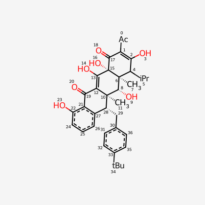 CC(=O)C1=C(O)C(C(C)C)[C@@]2(C)[C@H](O)[C@]3(C)C(=C(O)[C@@]2(O)C1=O)C(=O)c1c(O)cccc1[C@H]3Cc1ccc(C(C)(C)C)cc1